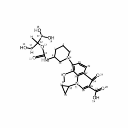 COc1c(N2CCCC(NC(=O)OC(C)(PO)P(O)O)C2)ccc2c(=O)c(C(=O)O)cn(C3CC3)c12